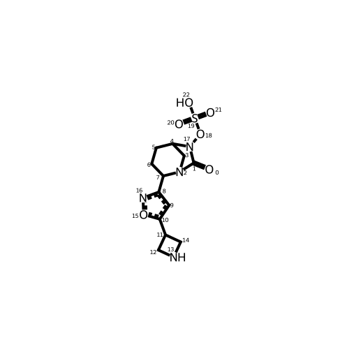 O=C1N2CC(CCC2c2cc(C3CNC3)on2)N1OS(=O)(=O)O